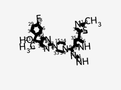 Cc1ncc(-c2c[nH]c(/C(=N\C=N)N3CCN(c4ncc([C@@](C)(O)c5ccc(F)cc5)cn4)CC3)c2)s1